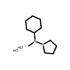 CN(C1CCCCC1)N1CCCC1.Cl.Cl